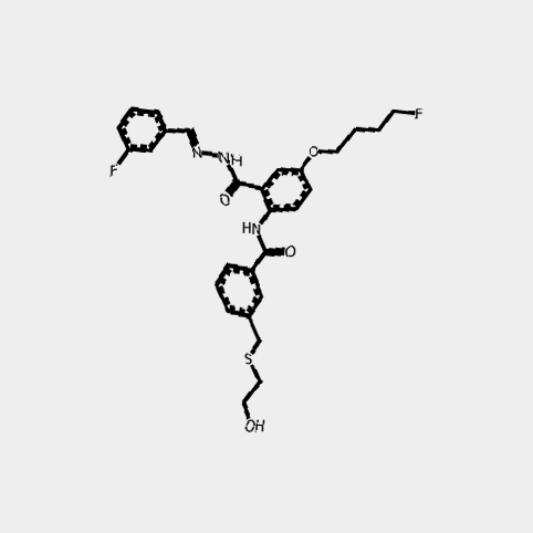 O=C(Nc1ccc(OCCCCF)cc1C(=O)NN=Cc1cccc(F)c1)c1cccc(CSCCO)c1